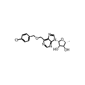 C[C@H]1O[C@@H](n2cnc3c(COCc4ccc(Cl)cc4)ncnc32)[C@H](O)[C@@H]1O